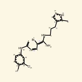 C=C(/N=C\C(Br)=C(/N)NCCCc1cn[nH]c1C)Nc1ccc(F)c(Cl)c1